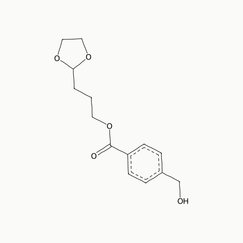 O=C(OCCCC1OCCO1)c1ccc(CO)cc1